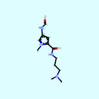 CN(C)CCCNC(=O)c1cc(NC=O)cn1C